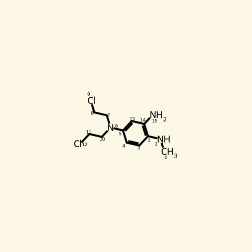 CNc1ccc(N(CCCl)CCCl)cc1N